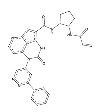 C=CC(=O)NC1CCCC1NC(=O)c1sc2nccc3c2c1NC(=O)N3c1cnnc(-c2ccccc2)c1